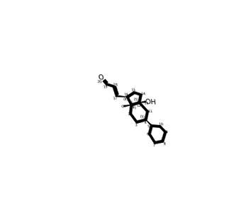 C[C@]12CC[C@H](C3CCCCC3)C[C@@]1(O)CC[C@@H]2C=CC=O